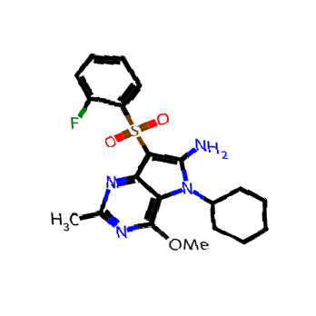 COc1nc(C)nc2c(S(=O)(=O)c3ccccc3F)c(N)n(C3CCCCC3)c12